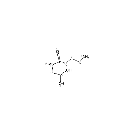 C=C(CC(O)O)C(=O)OCCN